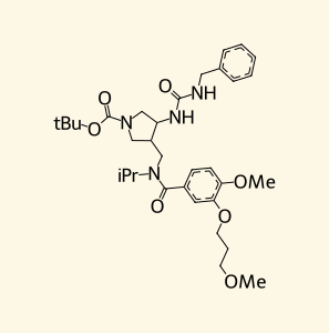 COCCCOc1cc(C(=O)N(CC2CN(C(=O)OC(C)(C)C)CC2NC(=O)NCc2ccccc2)C(C)C)ccc1OC